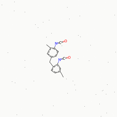 Cc1ccc(Cc2ccc(N=C=O)c(C)c2)c(N=C=O)c1